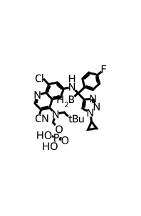 BC(Nc1cc(Cl)c2ncc(C#N)c(N(COP(=O)(O)O)CC(C)(C)C)c2c1)(c1ccc(F)cc1)c1cn(C2CC2)nn1